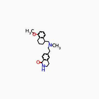 COc1cccc2c1CCCC2CN(C)CCc1ccc2c(c1)CCNC2=O